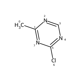 Cc1ncnc(Cl)n1